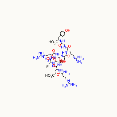 CC(C)CC(NC(=O)[C@H](CC(N)=O)NC(=O)[C@H](CCCN=C(N)N)NC(=O)[C@H](CC(C)C)NC(=O)[C@H](CO)NC(=O)C(CCC(=O)O)NC(=O)[C@@H](N)CCCN=C(N)N)C(=O)N[C@@H](CCCN=C(N)N)C(=O)NCC(=O)N[C@@H](Cc1ccc(O)cc1)C(=O)O